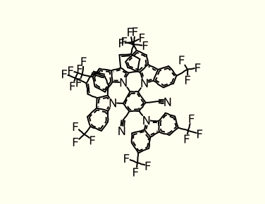 N#Cc1c(-n2c3c(c4cc(C(F)(F)F)ccc42)C=C(C(F)(F)F)C#CC3)c(-n2c3c(c4cc(C(F)(F)F)ccc42)C=C(C(F)(F)F)CC3)c(-n2c3ccc(C(F)(F)F)cc3c3cc(C(F)(F)F)ccc32)c(C#N)c1-n1c2ccc(C(F)(F)F)cc2c2cc(C(F)(F)F)ccc21